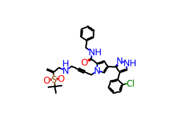 C=C(CNCC#CCn1cc(-c2n[nH]cc2-c2ccccc2Cl)cc1C(=O)NCc1ccccc1)S(=O)(=O)C(C)(C)C